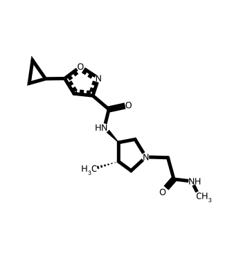 CNC(=O)CN1C[C@H](NC(=O)c2cc(C3CC3)on2)[C@@H](C)C1